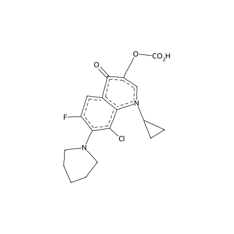 O=C(O)Oc1cn(C2CC2)c2c(Cl)c(N3CCCCC3)c(F)cc2c1=O